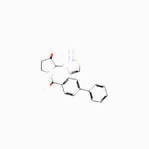 O=C1CCN(C(=O)c2ccc(-c3ccccc3)cc2)C1N1C=CON1